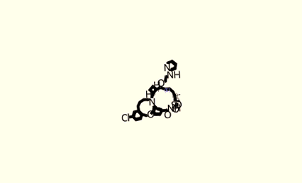 C[C@@H]1[C@@H](C)C/C=C/C(OCCNc2ccccn2)[C@@H]2CC[C@H]2CN2CCCCc3cc(Cl)ccc3COc3ccc(cc32)C(=O)NS1(=O)=O